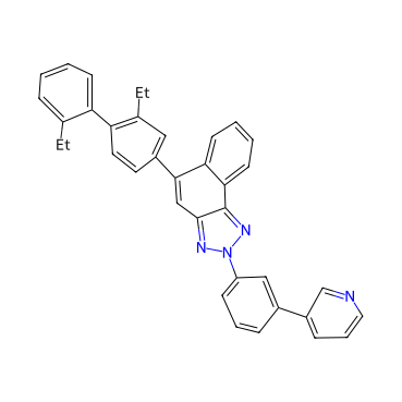 CCc1ccccc1-c1ccc(-c2cc3nn(-c4cccc(-c5cccnc5)c4)nc3c3ccccc23)cc1CC